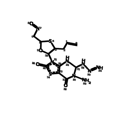 C=CCC1SC(CN=O)OC1n1c2c(sc1=O)C(=O)N(N)C(NN=N)N2